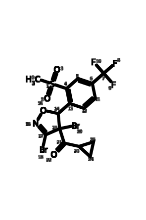 CS(=O)(=O)c1cc(C(F)(F)F)ccc1C1ON=C(Br)C1(Br)C(=O)C1CC1